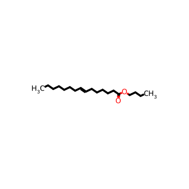 CCCCCCCC=CCCCCCC(=O)OCCCC